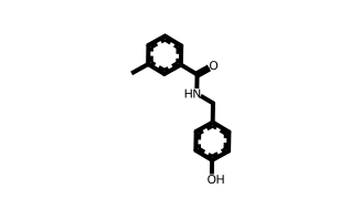 Cc1cccc(C(=O)NCc2ccc(O)cc2)c1